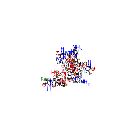 COC1C(OP(=O)(S)OC[C@H]2O[C@@H](n3cnc4c(=O)[nH]c(N)nc43)CC2OP(=O)(S)OC[C@H]2O[C@@H](n3cc(C)c(=O)[nH]c3=O)CC2OP(=S)(OCCOCCOCCN)OC[C@H]2O[C@@H](n3ccc(N)nc3=O)CC2C(C)C)[C@@H](COP(=O)(S)OC2C(OC)[C@H](n3cc(Br)c(=O)[nH]c3=O)O[C@@H]2CO)O[C@H]1n1ccc(N)nc1=O